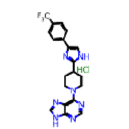 Cl.FC(F)(F)c1ccc(-c2c[nH]c(C3CCN(c4ncnc5[nH]cnc45)CC3)n2)cc1